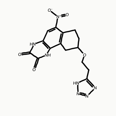 O=c1[nH]c2cc([N+](=O)[O-])c3c(c2[nH]c1=O)CC(OCCc1nnn[nH]1)CC3